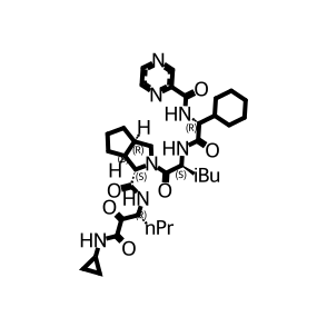 CCC[C@@H](NC(=O)[C@@H]1[C@H]2CCC[C@H]2CN1C(=O)[C@@H](NC(=O)[C@H](NC(=O)c1cnccn1)C1CCCCC1)C(C)CC)C(=O)C(=O)NC1CC1